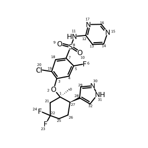 C[C@@]1(Oc2cc(F)c(S(=O)(=O)Nc3ccncn3)cc2Cl)CC(F)(F)CC[C@@H]1c1cn[nH]c1